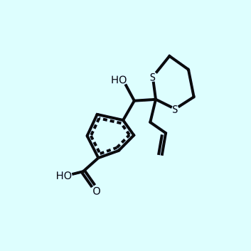 C=CCC1(C(O)c2ccc(C(=O)O)cc2)SCCCS1